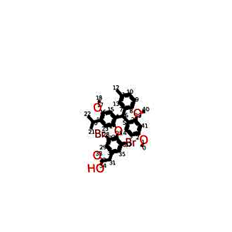 COc1ccc(C(c2cccc(C)c2)c2cc(OC)c(C(C)C)cc2Oc2c(Br)cc(CC(=O)O)cc2Br)c(OC)c1